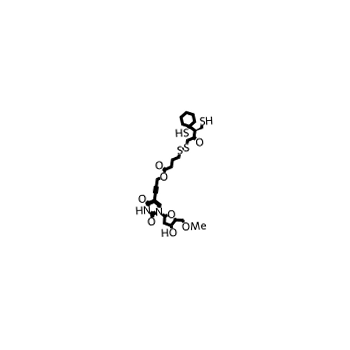 COCC1OC(n2cc(C#CCOC(=O)CCCSSCC(=O)[C@H](CS)C3(S)CCCCC3)c(=O)[nH]c2=O)CC1O